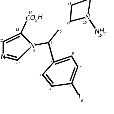 CC(c1ccc(I)cc1)n1cncc1C(=O)O.NN1CCC1